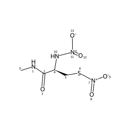 CNC(=O)[C@H](CS[N+](=O)[O-])N[N+](=O)[O-]